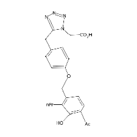 CCCc1c(COc2ccc(Cc3nnnn3CC(=O)O)cc2)ccc(C(C)=O)c1O